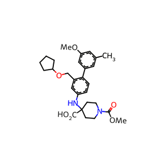 COC(=O)N1CCC(Nc2ccc(-c3cc(C)cc(OC)c3)c(COC3CCCC3)c2)(C(=O)O)CC1